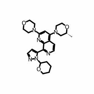 C[C@@H]1CN(c2cc(N3CCOCC3)nc3c(-c4ccnn4C4CCCCO4)nccc23)CCO1